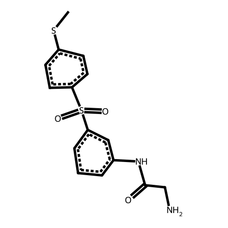 CSc1ccc(S(=O)(=O)c2cccc(NC(=O)CN)c2)cc1